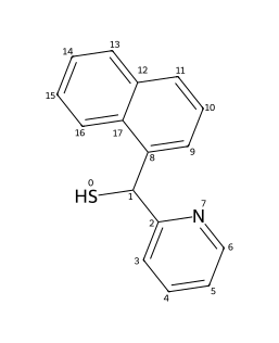 SC(c1ccccn1)c1cccc2ccccc12